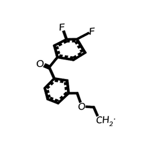 [CH2]COCc1cccc(C(=O)c2ccc(F)c(F)c2)c1